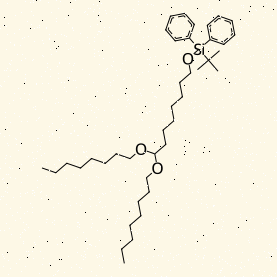 CCCCCCCCOC(CCCCCCCO[Si](c1ccccc1)(c1ccccc1)C(C)(C)C)OCCCCCCCC